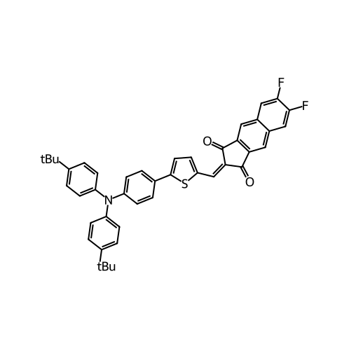 CC(C)(C)c1ccc(N(c2ccc(-c3ccc(C=C4C(=O)c5cc6cc(F)c(F)cc6cc5C4=O)s3)cc2)c2ccc(C(C)(C)C)cc2)cc1